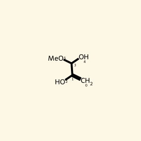 C=C(O)C(O)OC